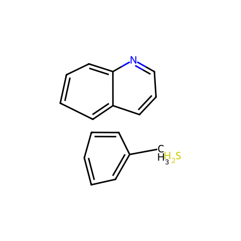 Cc1ccccc1.S.c1ccc2ncccc2c1